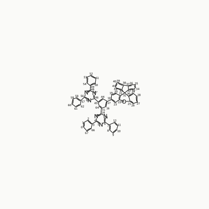 c1ccc(-c2nc(-c3ccccc3)nc(-c3cc(-c4ccc5c(c4)Oc4ccccc4C54c5ccccc5-c5ccccc54)cc(-c4nc(-c5ccccc5)nc(-c5ccccc5)n4)c3)n2)cc1